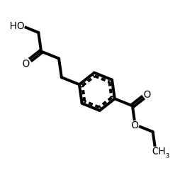 CCOC(=O)c1ccc(CCC(=O)CO)cc1